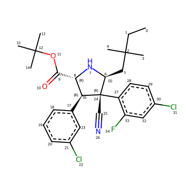 CCC(C)(C)C[C@@H]1N[C@@H](C(=O)OC(C)(C)C)[C@H](c2cccc(Cl)c2)[C@@]1(C#N)c1ccc(Cl)cc1F